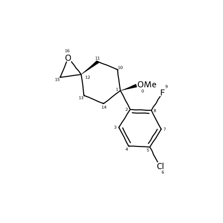 CO[C@]1(c2ccc(Cl)cc2F)CC[C@@]2(CC1)CO2